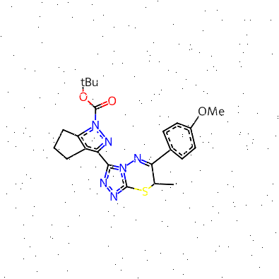 COc1ccc(C2=Nn3c(nnc3-c3nn(C(=O)OC(C)(C)C)c4c3CCC4)SC2C)cc1